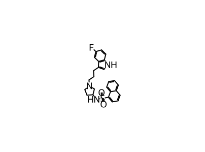 O=S(=O)(NC1CCN(CCCc2c[nH]c3ccc(F)cc23)C1)c1cccc2ccccc12